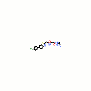 NC1(NC(=O)Cc2nnc(CC3=NC4C=CC(c5ccc(Cl)cc5)=C(F)C4S3)o2)CC1